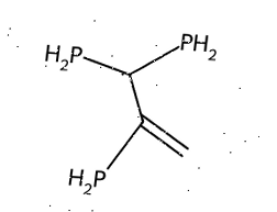 C=C(P)[C](P)P